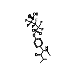 C=C(C)C(=O)C(NC)c1ccc(OS(=O)(=O)C(F)(F)C(F)(F)C(F)(F)S(=O)(=O)O)cc1